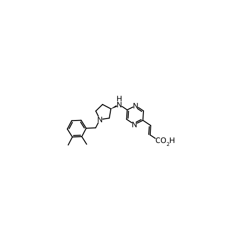 Cc1cccc(CN2CC[C@@H](Nc3cnc(C=CC(=O)O)cn3)C2)c1C